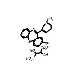 CN1CCC=C(C2=Nc3ccccc3Sc3ccc(Br)cc32)C1.O=C(O)C(O)C(O)C(=O)O